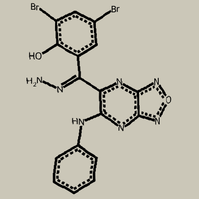 N/N=C(\c1cc(Br)cc(Br)c1O)c1nc2nonc2nc1Nc1ccccc1